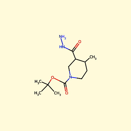 CC1CCN(C(=O)OC(C)(C)C)CC1C(=O)NN